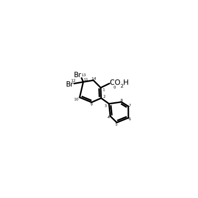 O=C(O)C1=C(c2ccccc2)C=CC(Br)(Br)C1